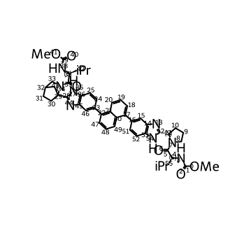 COC(=O)N[C@H](C(=O)N1CCC[C@H]1c1nc2cc(-c3cccc4c(-c5ccc6[nH]c(C78CCC(CN7C(=O)[C@@H](NC(=O)OC)C(C)C)C8)nc6c5)cccc34)ccc2[nH]1)C(C)C